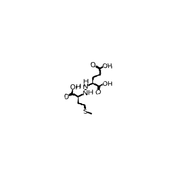 CSCC[C@H](NN[C@@H](CCC(=O)O)C(=O)O)C(=O)O